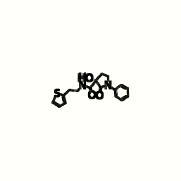 O=C(NCCc1cccs1)[C@@]1(O)CCN(c2ccccc2)C1=O